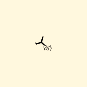 C[CH](C)[GaH2].Cl